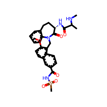 CNC(C)C(=O)N[C@H]1CCc2ccccc2N(Cc2c(OC)ccc3cc(C(=O)NS(C)(=O)=O)ccc23)C1=O